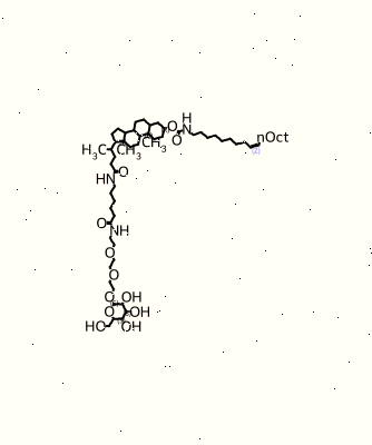 CCCCCCCC/C=C\CCCCCCCCNC(=O)O[C@@H]1CC[C@@]2(C)C(CCC3C4CCC(C(C)CCC(=O)NCCCCCC(=O)NCCOCCOCCO[C@H]5OC(CO)[C@@H](O)[C@H](O)C5O)[C@@]4(C)CCC32)C1